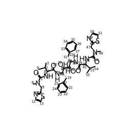 CC(C)[C@H](NC(=O)N(C)Cc1nccs1)C(=O)N[C@@H](Cc1ccccc1)[C@H](O)[C@H](O)[C@H](Cc1ccccc1)NC(=O)[C@@H](NC(=O)N(C)Cc1nccs1)C(C)C